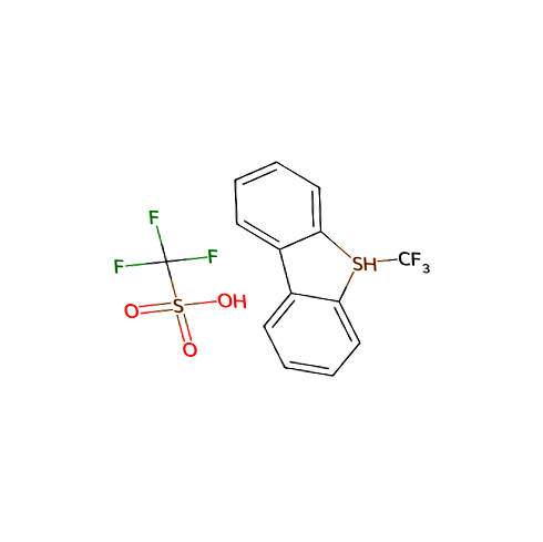 FC(F)(F)[SH]1c2ccccc2-c2ccccc21.O=S(=O)(O)C(F)(F)F